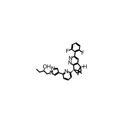 CC[C@@H](O)Cn1cc(-c2cccc([C@@]34CC[C@@H](c5cc(-c6c(F)cccc6F)nnc53)C4(C)C)n2)cn1